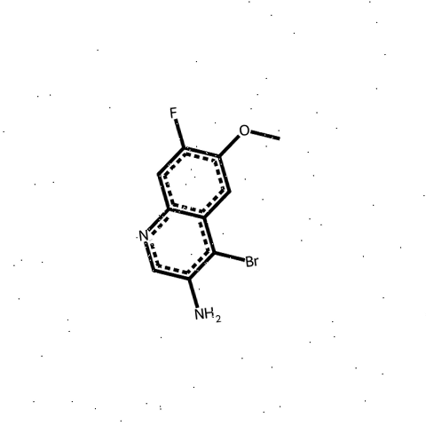 COc1cc2c(Br)c(N)cnc2cc1F